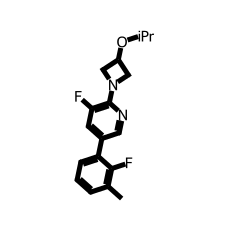 Cc1cccc(-c2cnc(N3CC(OC(C)C)C3)c(F)c2)c1F